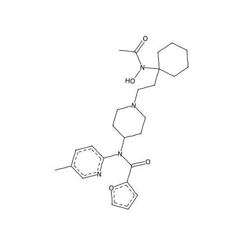 CC(=O)N(O)C1(CCN2CCC(N(C(=O)c3ccco3)c3ccc(C)cn3)CC2)CCCCC1